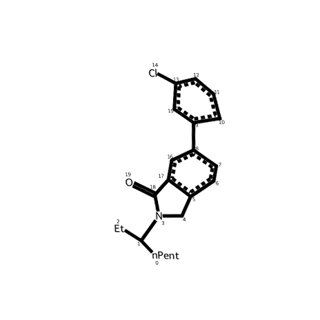 CCCCCC(CC)N1Cc2ccc(-c3cccc(Cl)c3)cc2C1=O